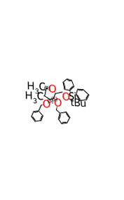 CC1[C@@H](C)OC(CO[Si](c2ccccc2)(c2ccccc2)C(C)(C)C)[C@@H](OCc2ccccc2)[C@H]1OCc1ccccc1